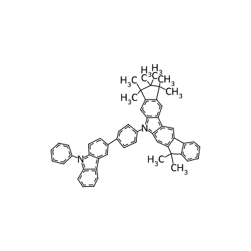 CC1(C)c2ccccc2-c2cc3c4cc5c(cc4n(-c4ccc(-c6ccc7c(c6)c6ccccc6n7-c6ccccc6)cc4)c3cc21)C(C)(C)C(C)(C)C5(C)C